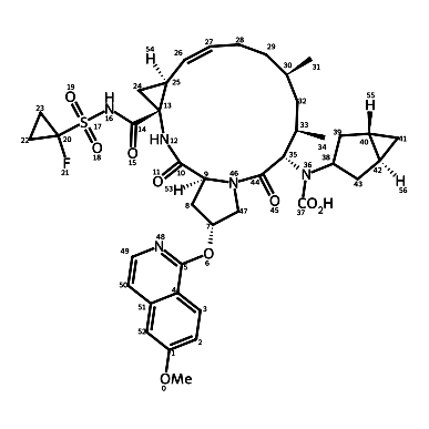 COc1ccc2c(O[C@@H]3C[C@H]4C(=O)N[C@]5(C(=O)NS(=O)(=O)C6(F)CC6)C[C@H]5C=CCC[C@@H](C)C[C@@H](C)[C@H](N(C(=O)O)C5C[C@@H]6C[C@H]6C5)C(=O)N4C3)nccc2c1